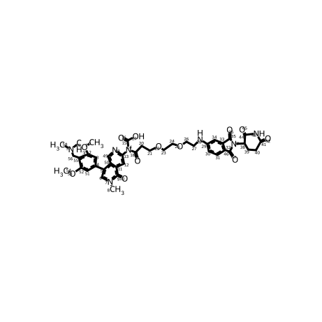 COc1cc(-c2cn(C)c(=O)c3cc(N(C(=O)O)C(=O)CCOCCOCCNc4ccc5c(c4)C(=O)N(C4CCC(=O)NC4=O)C5=O)ncc23)cc(OC)c1CN(C)C